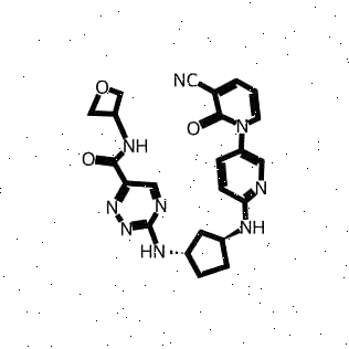 N#Cc1cccn(-c2ccc(N[C@H]3CC[C@H](Nc4ncc(C(=O)NC5COC5)nn4)C3)nc2)c1=O